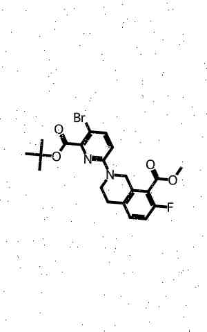 COC(=O)c1c(F)ccc2c1CN(c1ccc(Br)c(C(=O)OC(C)(C)C)n1)CC2